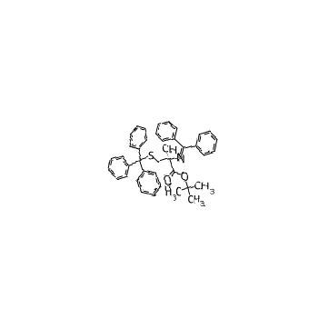 CC(C)(C)OC(=O)[C@@](C)(CSC(c1ccccc1)(c1ccccc1)c1ccccc1)N=C(c1ccccc1)c1ccccc1